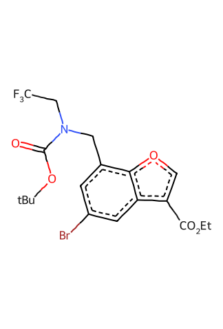 CCOC(=O)c1coc2c(CN(CC(F)(F)F)C(=O)OC(C)(C)C)cc(Br)cc12